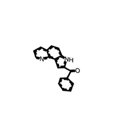 O=C(c1ccccc1)c1cc2c(ccc3cccnc32)[nH]1